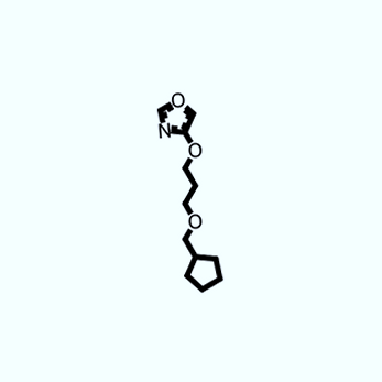 c1nc(OCCCOCC2CCCC2)co1